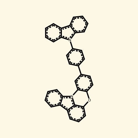 c1ccc2c(c1)c1ccccc1n2-c1ccc(-c2ccc3c(c2)-n2c4ccccc4c4cccc(c42)O3)cc1